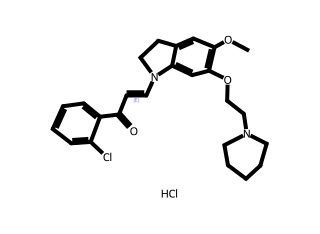 COc1cc2c(cc1OCCN1CCCCC1)N(/C=C/C(=O)c1ccccc1Cl)CC2.Cl